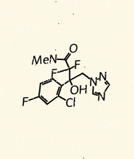 CNC(=O)C(F)(F)C(O)(Cn1cncn1)c1ccc(F)cc1Cl